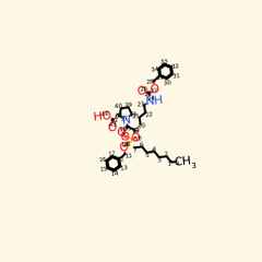 CCCCCCCCP(=O)(OCc1ccccc1)O[C@@H](CCCCNC(=O)OCc1ccccc1)C(=O)N1CCC[C@H]1C(=O)O